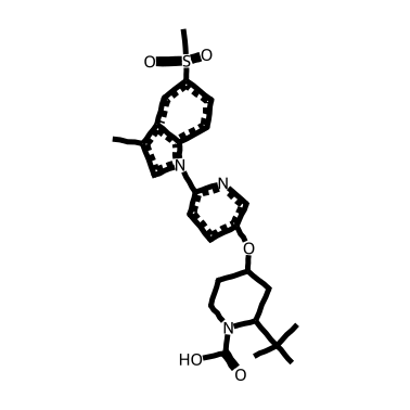 Cc1cn(-c2ccc(OC3CCN(C(=O)O)C(C(C)(C)C)C3)cn2)c2ccc(S(C)(=O)=O)cc12